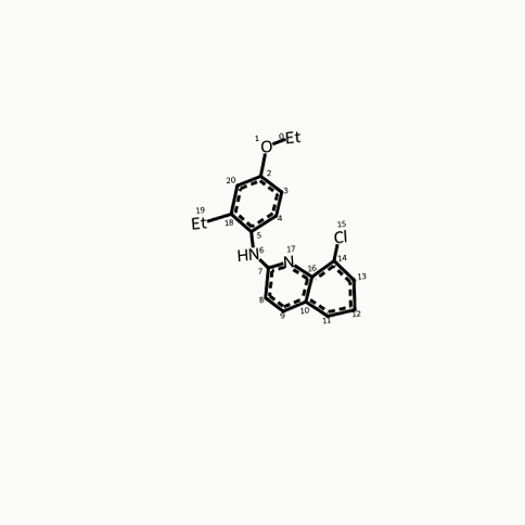 CCOc1ccc(Nc2ccc3cccc(Cl)c3n2)c(CC)c1